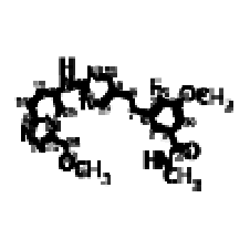 CNC(=O)c1cc(CCc2cnc(Nc3ccc4nnc(COC)n4c3)nc2)c(F)c(OC)c1